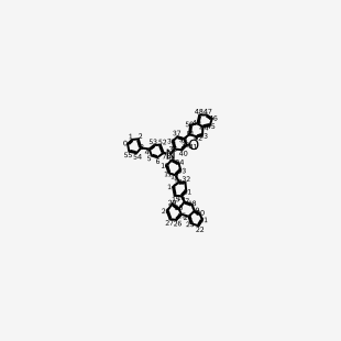 c1ccc(-c2ccc(N(c3ccc(-c4ccc(-c5cc6ccccc6c6ccccc56)cc4)cc3)c3ccc4c(c3)oc3cc5ccccc5cc34)cc2)cc1